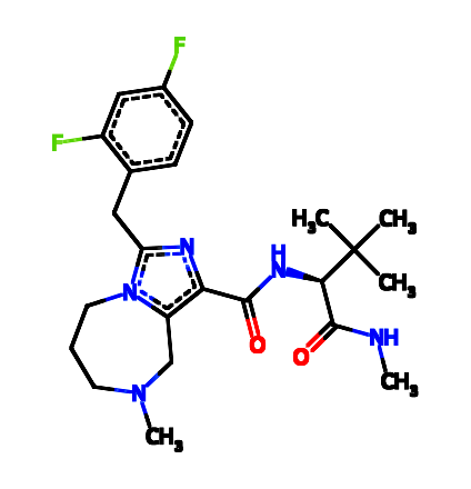 CNC(=O)[C@@H](NC(=O)c1nc(Cc2ccc(F)cc2F)n2c1CN(C)CCC2)C(C)(C)C